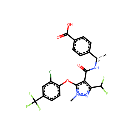 C[C@H](NC(=O)c1c(C(F)F)nn(C)c1Oc1ccc(C(F)(F)F)cc1Cl)c1ccc(C(=O)O)cc1